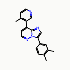 Cc1ccc(-c2cnc3c(-c4cnccc4C)ccnn23)cc1C